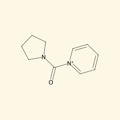 O=C(N1CCCC1)[n+]1ccccc1